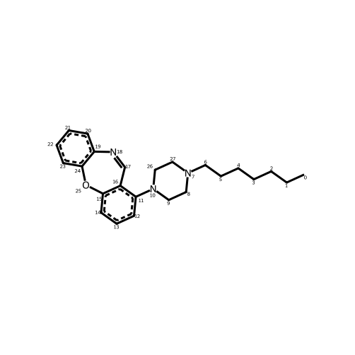 CCCCCCCN1CCN(c2cccc3c2C=Nc2ccccc2O3)CC1